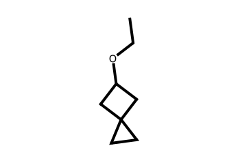 CCOC1CC2(CC2)C1